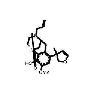 C=CCN1CC[C@@]23CC(=O)CCC2C1Cc1c(C2(C)C=COC2)cc(OC)c(O)c13